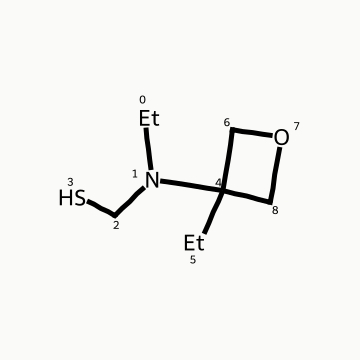 CCN(CS)C1(CC)COC1